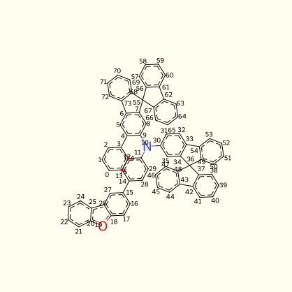 c1ccc(-c2cc3c(cc2N(c2ccc(-c4ccc5oc6ccccc6c5c4)cc2)c2ccc4c(c2)C2(c5ccccc5-c5ccccc52)c2ccccc2-4)C2(c4ccccc4-c4ccccc42)c2ccccc2-3)cc1